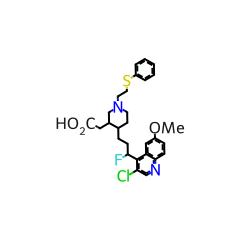 COc1ccc2ncc(Cl)c(C(F)CCC3CCN(CCSc4ccccc4)CC3CC(=O)O)c2c1